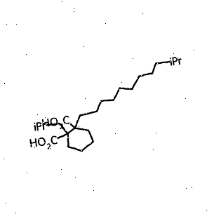 CC(C)CCCCCCCCCC1(C(=O)O)CCCCC1(CC(C)C)C(=O)O